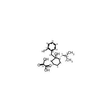 CN(C)C[C@@H]1CCCC[C@]1(O)Cc1ccccc1F.O=C(O)C(=O)O